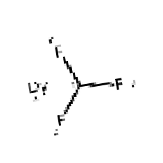 FC(F)F.[Dy]